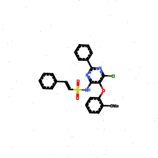 COc1ccccc1Oc1c(Cl)nc(-c2ccccc2)nc1NS(=O)(=O)C=Cc1ccccc1